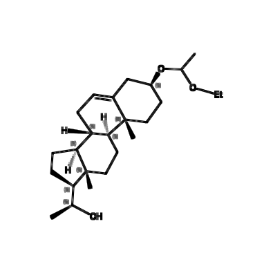 CCOC(C)O[C@H]1CC[C@@]2(C)C(=CC[C@H]3[C@@H]4CC[C@H]([C@H](C)O)[C@@]4(C)CC[C@@H]32)C1